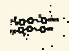 CCCCCc1ccc(CCc2ccc(-c3ccc(OC(F)F)cc3)cc2)c(F)c1.CCCc1ccc(CCc2ccc(-c3ccc(C(F)(F)F)cc3F)cc2)cc1